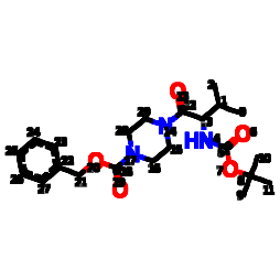 CC(C)[C@H](NC(=O)OC(C)(C)C)C(=O)N1CCN(C(=O)OCc2ccccc2)CC1